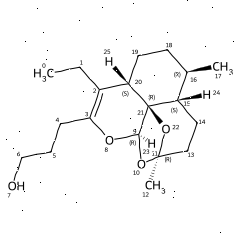 CCC1=C(CCCO)O[C@@H]2O[C@]3(C)CC[C@H]4[C@H](C)CC[C@@H]1[C@@]24O3